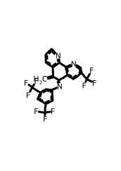 C=C1C(=Nc2cc(C(F)(F)F)cc(C(F)(F)F)c2)c2cc(C(F)(F)F)cnc2-c2ncccc21